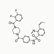 C=Nc1c(/C=C\C)cccc1S(=O)(=O)Nc1ccc(C(=O)N2CCN(C(=O)c3cccc(F)c3F)CC2)cc1